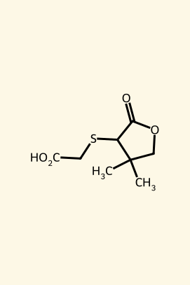 CC1(C)COC(=O)C1SCC(=O)O